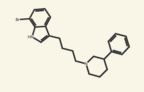 Brc1cccc2c(CCCCN3CCCC(c4ccccc4)C3)c[nH]c12